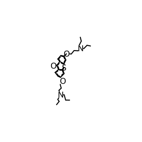 CCCN(CCC)CCCOc1ccc2c(=O)c3ccc(OCCCN(CCC)CCC)cc3sc2c1